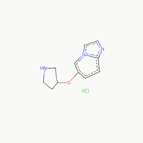 Cl.c1cn2cc(OC3CCNC3)ccc2n1